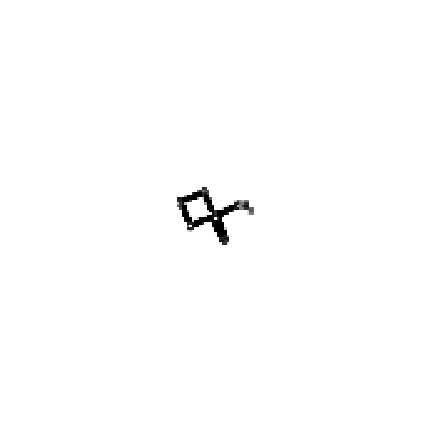 CP1(=O)OSO1